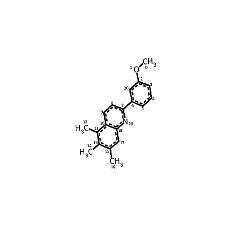 COc1cccc(-c2ccc3c(C)c(C)c(C)cc3n2)c1